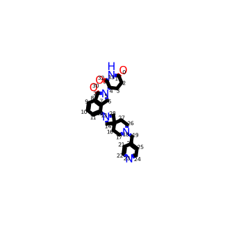 O=C1CCC(N2Cc3c(cccc3N3CC4(CCN(Cc5ccncc5)CC4)C3)C2=O)C(=O)N1